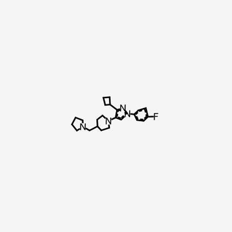 Fc1ccc(-n2cc(N3CCC(CN4CCCC4)CC3)c(C3CCC3)n2)cc1